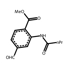 CCCC(=O)Nc1cc(C=O)ccc1C(=O)OC